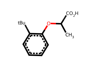 CC(Oc1ccccc1C(C)(C)C)C(=O)O